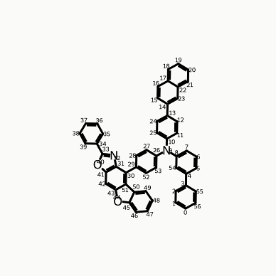 c1ccc(-c2cccc(N(c3ccc(-c4ccc5ccccc5c4)cc3)c3ccc(-c4c5nc(-c6ccccc6)oc5cc5oc6ccccc6c45)cc3)c2)cc1